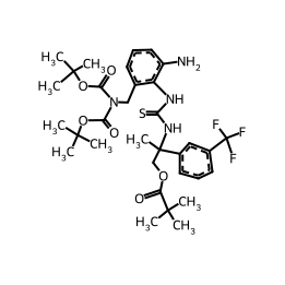 CC(C)(C)OC(=O)N(Cc1cccc(N)c1NC(=S)NC(C)(COC(=O)C(C)(C)C)c1cccc(C(F)(F)F)c1)C(=O)OC(C)(C)C